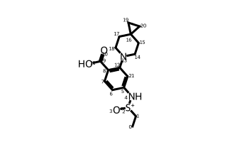 CC[S+]([O-])Nc1ccc(C(=O)O)c(N2CCC3(CC2)CC3)c1